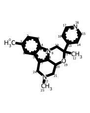 Cc1ccc2c(c1)c1c3n2CC(C)(c2ccncc2)OC3CN(C)C1